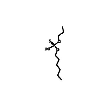 CCCCCCOP(O)(=S)OCCC